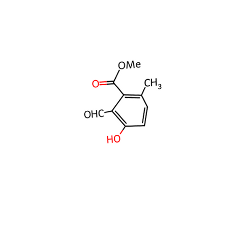 COC(=O)c1c(C)ccc(O)c1C=O